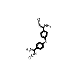 NC(N=C=O)c1ccc(Sc2ccc(C(N)N=C=O)cc2)cc1